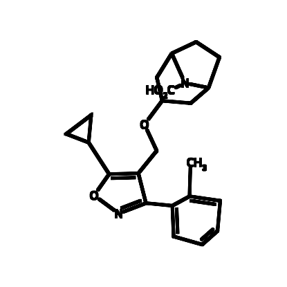 Cc1ccccc1-c1noc(C2CC2)c1COC1CC2CCC(C1)N2C(=O)O